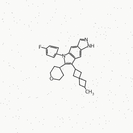 CC1CC2(C1)CC(c1c(C3CCOCC3)n(-c3ccc(F)cc3)c3cc4cn[nH]c4cc13)C2